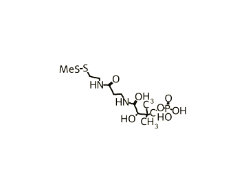 CSSCCNC(=O)CCNC(=O)[C@H](O)C(C)(C)COP(=O)(O)O